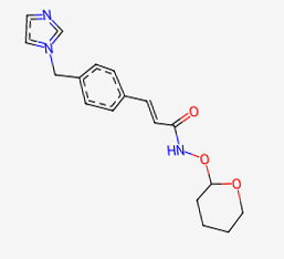 O=C(/C=C/c1ccc(Cn2ccnc2)cc1)NOC1CCCCO1